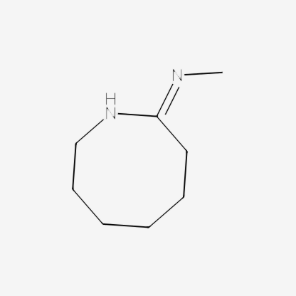 C/N=C1\CCCCCCN1